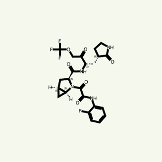 O=C(Nc1ccccc1F)C(=O)N1[C@H](C(=O)N[C@@H](C[C@@H]2CCNC2=O)C(=O)COC(F)(F)F)C[C@@H]2C[C@@H]21